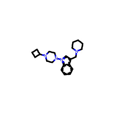 [c]1cccc2c1c(CN1CCCCC1)cn2N1CCN(C2CCC2)CC1